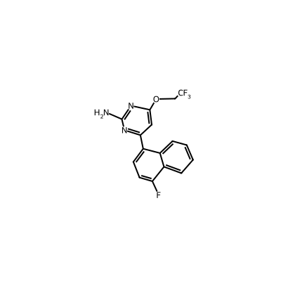 Nc1nc(OCC(F)(F)F)cc(-c2ccc(F)c3ccccc23)n1